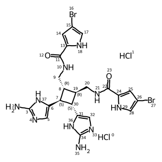 Cl.Cl.Nc1ncc([C@H]2[C@H](CNC(=O)c3cc(Br)c[nH]3)[C@@H](CNC(=O)c3cc(Br)c[nH]3)[C@@H]2c2cnc(N)[nH]2)[nH]1